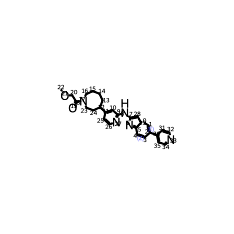 C/C=C(\C=C/C1=NC(Nc2cc(C3CCCCN(C(=O)COC)CC3)ccn2)=CC1)c1ccncc1